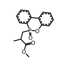 COC(=O)C(C)CP1(=O)Oc2ccccc2-c2ccccc21